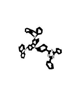 c1ccc(-c2nc(-c3ccccc3)nc(-c3ccc(-n4c5ccc(-n6c7ccccc7c7ccccc76)cc5c5cc(-n6c7ccccc7c7ccccc76)ccc54)cc3)n2)cc1